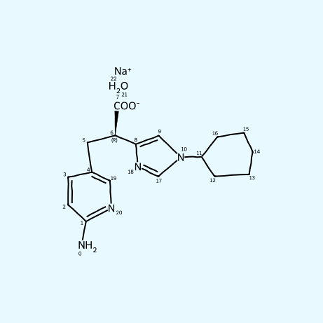 Nc1ccc(C[C@@H](C(=O)[O-])c2cn(C3CCCCC3)cn2)cn1.O.[Na+]